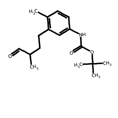 Cc1ccc(NC(=O)OC(C)(C)C)cc1CCC(C)C=O